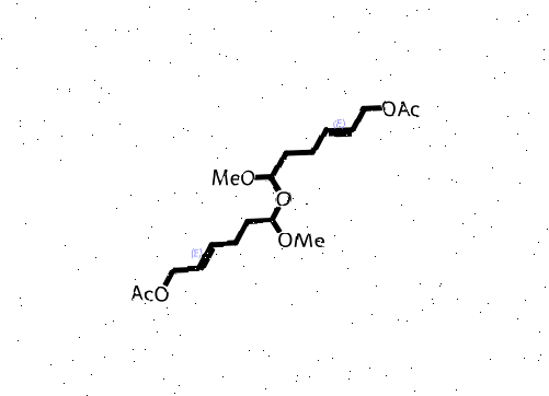 COC(CC/C=C/COC(C)=O)OC(CC/C=C/COC(C)=O)OC